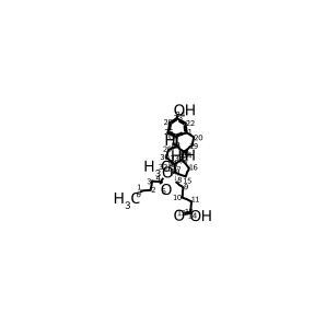 CCCCC(=O)O[C@]1(CCCCC(=O)O)CC[C@H]2[C@@H]3CCc4cc(O)ccc4[C@H]3CC[C@@]21C